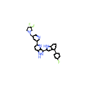 Fc1ccc(-c2cccc3[nH]c(-c4n[nH]c5ccc(-c6cncc(CN7CCC(F)(F)C7)c6)nc45)cc23)cc1